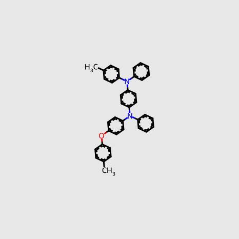 Cc1ccc(Oc2ccc(N(c3ccccc3)c3ccc(N(c4ccccc4)c4ccc(C)cc4)cc3)cc2)cc1